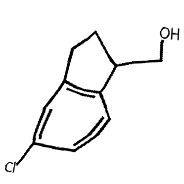 OCC1CCc2cc(Cl)ccc21